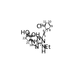 CCNc1nc(C#Cc2ccccc2Cl)nc2c1ncn2[C@@H]1CC[C@@H](O)[C@H]1O